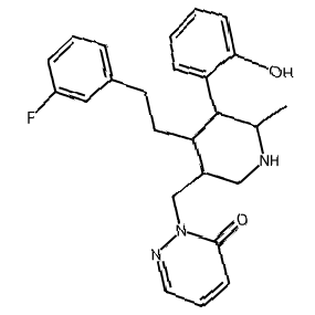 CC1NCC(Cn2ncccc2=O)C(CCc2cccc(F)c2)C1c1ccccc1O